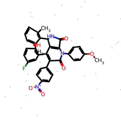 COc1ccc(-n2c3c(c(-c4cc(F)ccc4O)c(-c4ccc([N+](=O)[O-])cc4)c2=O)C(c2c(C)cccc2C)NC3=O)cc1